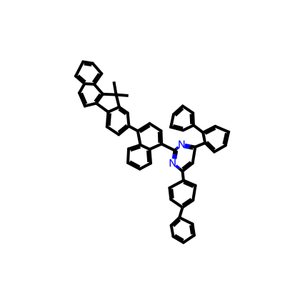 CC1(C)c2cc(-c3ccc(-c4nc(-c5ccc(-c6ccccc6)cc5)cc(-c5ccccc5-c5ccccc5)n4)c4ccccc34)ccc2-c2ccc3ccccc3c21